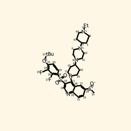 CCN1CCC(N2CCN(C3CCN(c4c(S(=O)(=O)c5ccc(OC(C)(C)C)c(F)c5F)cnc5ccc([S+](C)[O-])cc45)CC3)CC2)CC1